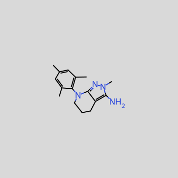 Cc1cc(C)c(N2CCCc3c2nn(C)c3N)c(C)c1